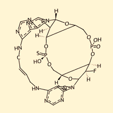 O=P1(O)OCC2O[C@@H]3[C@H](F)[C@@H]2O[P@@](O)(=S)OC[C@H]2OC([C@H](F)[C@@H]2O1)n1cnc2c(ncnc21)NC/C=C/CNc1ncnc2c1ncn23